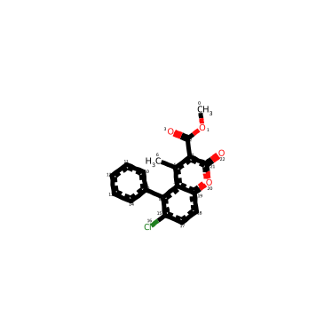 COC(=O)c1c(C)c2c(-c3ccccc3)c(Cl)ccc2oc1=O